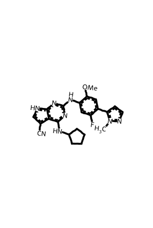 COc1cc(-c2ccnn2C)c(F)cc1Nc1nc(NC2CCCC2)c2c(C#N)c[nH]c2n1